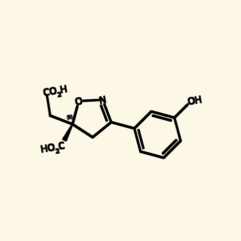 O=C(O)C[C@@]1(C(=O)O)CC(c2cccc(O)c2)=NO1